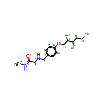 CCCNC(=O)CNCc1ccc(OCC(F)C(F)CCF)cc1